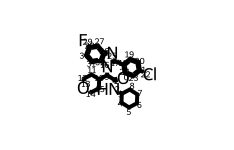 O=C(NC1CCCCC1)C(C1CCOCC1)n1c(-c2ccc(Cl)cc2)nc2cc(F)ccc21